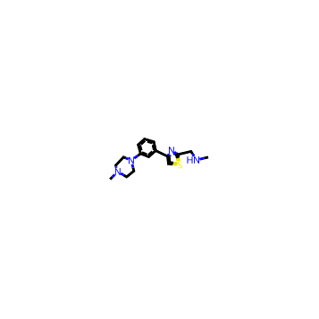 CNCc1nc(-c2cccc(N3CCN(C)CC3)c2)cs1